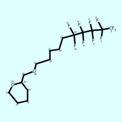 FC(F)(F)C(F)(F)C(F)(F)C(F)(F)C(F)(F)CCCCCOCC1CCCCO1